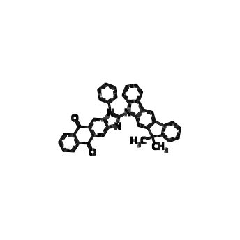 CC1(C)c2ccccc2-c2cc3c4ccccc4n(-c4nc5cc6c(cc5n4-c4ccccc4)C(=O)c4ccccc4C6=O)c3cc21